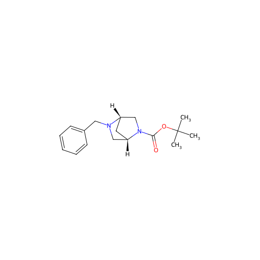 CC(C)(C)OC(=O)N1C[C@@H]2C[C@H]1CN2Cc1ccccc1